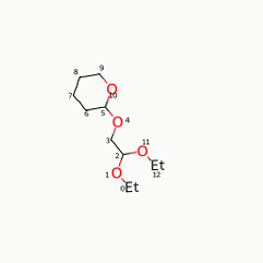 CCOC(COC1CCCCO1)OCC